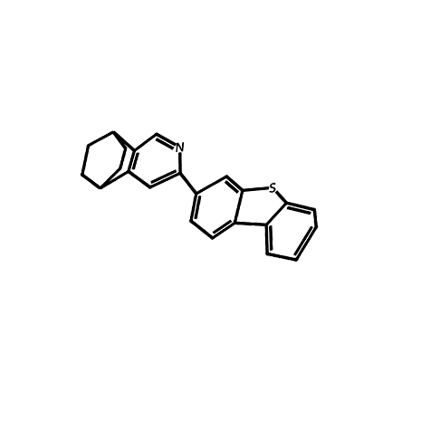 c1ccc2c(c1)sc1cc(-c3cc4c(cn3)C3CCC4CC3)ccc12